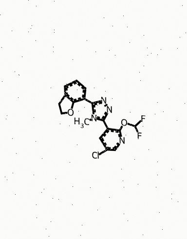 Cn1c(-c2cc(Cl)cnc2OC(F)F)nnc1-c1cccc2c1OCC2